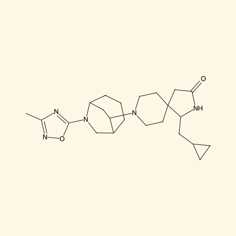 Cc1noc(N2CC3CCCC2CC3N2CCC3(CC2)CC(=O)NC3CC2CC2)n1